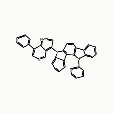 c1ccc(-c2cncc3c(-n4c5ccccc5c5c4ccc4c6ccccc6n(-c6ccccc6)c45)ccnc23)cc1